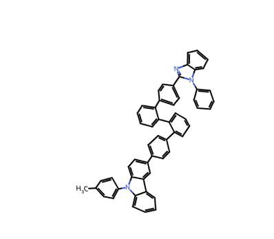 Cc1ccc(-n2c3ccccc3c3cc(-c4ccc(-c5ccccc5-c5ccccc5-c5ccc(-c6nc7ccccc7n6-c6ccccc6)cc5)cc4)ccc32)cc1